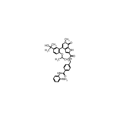 CC(C)Oc1ccc(C(C)(C)O)cc1-c1cn(C)c(=O)c2[nH]c(C(=O)NCc3ccc(C(=O)Nc4ccccc4N)cc3)cc12